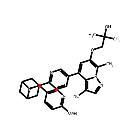 COc1ccc(CN2C3CC2CN(c2ccc(-c4cc(OCC(C)(C)O)c(C)n5ncc(C#N)c45)cn2)C3)cn1